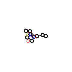 c1ccc(N(c2ccccc2)c2cccc3oc4cccc(N(c5ccc(-c6ccc7ccccc7c6)cc5)c5ccc6c(c5)sc5ccccc56)c4c23)cc1